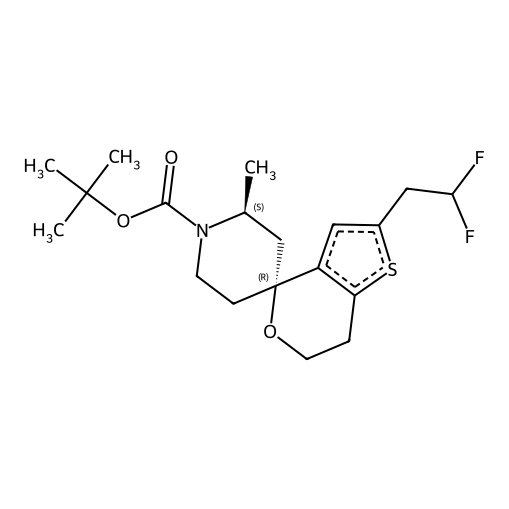 C[C@H]1C[C@@]2(CCN1C(=O)OC(C)(C)C)OCCc1sc(CC(F)F)cc12